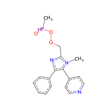 Cn1c(COO[PH](C)=O)nc(-c2ccccc2)c1-c1ccncc1